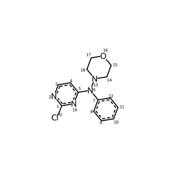 Clc1nccc(N(c2ccccc2)N2CCOCC2)n1